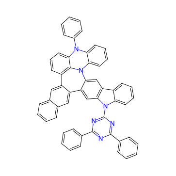 c1ccc(-c2nc(-c3ccccc3)nc(-n3c4ccccc4c4cc5c(cc43)-c3cc4ccccc4cc3-c3cccc4c3N5c3ccccc3N4c3ccccc3)n2)cc1